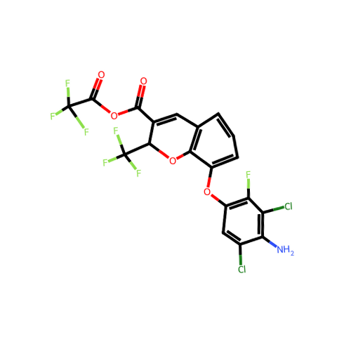 Nc1c(Cl)cc(Oc2cccc3c2OC(C(F)(F)F)C(C(=O)OC(=O)C(F)(F)F)=C3)c(F)c1Cl